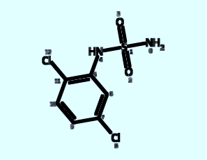 NS(=O)(=O)Nc1cc(Cl)ccc1Cl